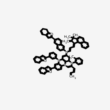 C=C/C=C\C1=CB2C3=C(C=C(N(/C=C/C=C4\C(=C)C(C)(C)c5ccc6ccccc6c54)c4ccc5cc(-c6cc7c(o6)CCC=C7)ccc5c4)CC3N1c1ccccc1C)N(c1cccc(-c3cc4ccccc4o3)c1)c1cc(-c3cc4ccccc4o3)ccc12